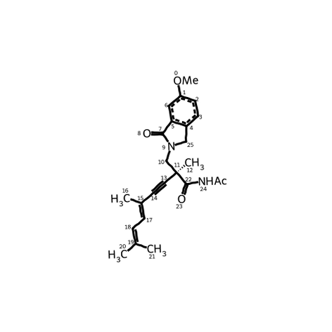 COc1ccc2c(c1)C(=O)N(C[C@](C)(C#C/C(C)=C/C=C(C)C)C(=O)NC(C)=O)C2